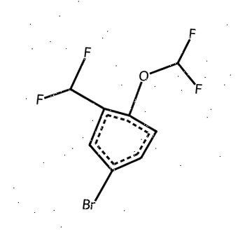 FC(F)Oc1ccc(Br)cc1C(F)F